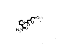 CCCCCCCCCC(=O)CC(=O)N1CCCC1C(N)=O